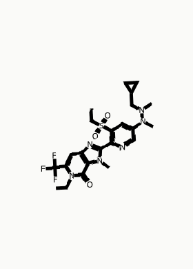 CCn1c(C(F)(F)F)cc2nc(-c3ncc(N(C)N(C)CC4CC4)cc3S(=O)(=O)CC)n(C)c2c1=O